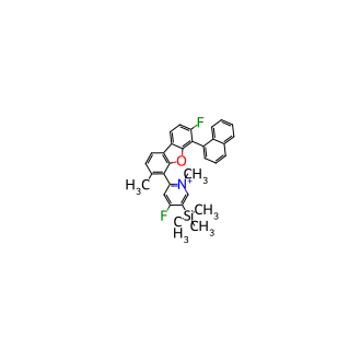 Cc1ccc2c(oc3c(-c4cccc5ccccc45)c(F)ccc32)c1-c1cc(F)c([Si](C)(C)C)c[n+]1C